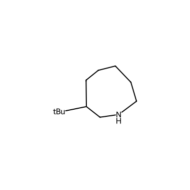 CC(C)(C)C1CCCCCNC1